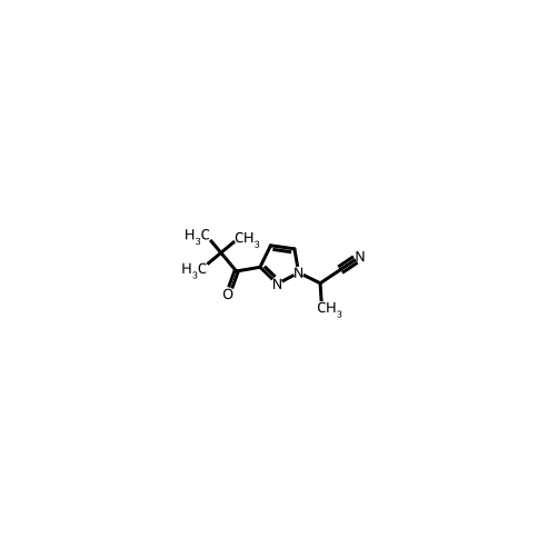 CC(C#N)n1ccc(C(=O)C(C)(C)C)n1